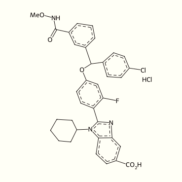 CONC(=O)c1cccc(C(Oc2ccc(-c3nc4cc(C(=O)O)ccc4n3C3CCCCC3)c(F)c2)c2ccc(Cl)cc2)c1.Cl